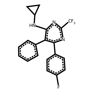 Fc1ccc(-c2nc(C(F)(F)F)nc(NC3CC3)c2-c2ccccc2)cc1